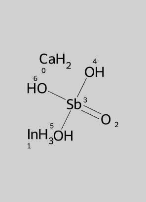 [CaH2].[InH3].[O]=[Sb]([OH])([OH])[OH]